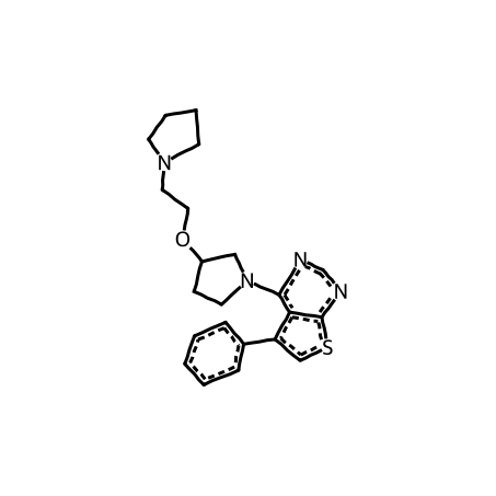 c1ccc(-c2csc3ncnc(N4CCC(OCCN5CCCC5)C4)c23)cc1